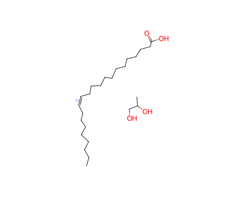 CC(O)CO.CCCCCCCC/C=C\CCCCCCCCCCCC(=O)O